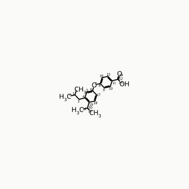 CC(C)Cc1cc(Oc2ccc(C(=O)O)cc2)ccc1C(C)C